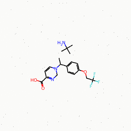 CC(C)(C)N.CC(c1ccc(OCC(F)(F)F)cc1)N1C=CC(C(=O)O)=NC1